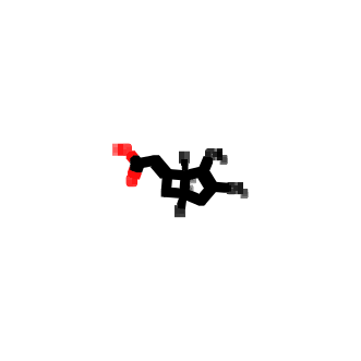 CC1=C(C)[C@@H]2C(=CC(=O)O)C[C@H]2C1